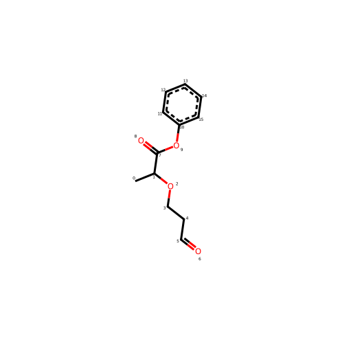 CC(OCCC=O)C(=O)Oc1ccccc1